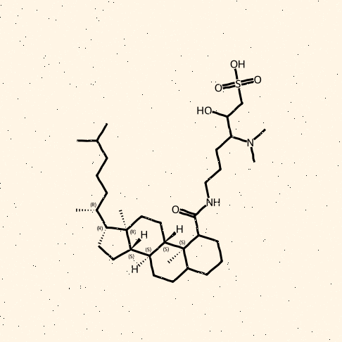 CC(C)CCC[C@@H](C)[C@H]1CC[C@H]2[C@@H]3CCC4CCCC(C(=O)NCCCC(C(O)CS(=O)(=O)O)N(C)C)[C@]4(C)[C@H]3CC[C@]12C